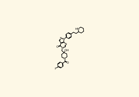 O=C(c1ccc(F)cc1)N1CCC(O)(Cn2cnc3c(cnn3-c3ccc(CCC4CCCCN4)cc3)c2=O)CC1